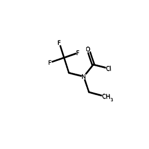 CCN(CC(F)(F)F)C(=O)Cl